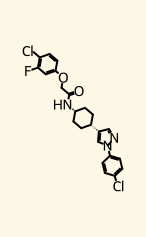 O=C(COc1ccc(Cl)c(F)c1)N[C@H]1CC[C@@H](c2cnn(-c3ccc(Cl)cc3)c2)CC1